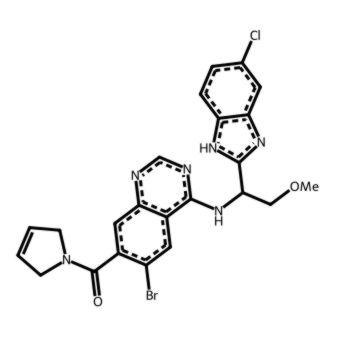 COCC(Nc1ncnc2cc(C(=O)N3CC=CC3)c(Br)cc12)c1nc2cc(Cl)ccc2[nH]1